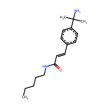 CCCCCNC(=O)C=Cc1ccc(C(C)(C)N)cc1